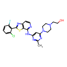 Cc1nc(Nc2nccc3nc(-c4c(F)cccc4Cl)sc23)cc(N2CCN(CCO)CC2)n1